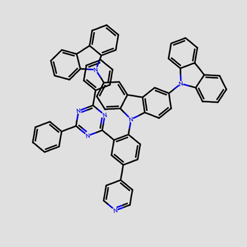 c1ccc(-c2nc(-c3ccccc3)nc(-c3cc(-c4ccncc4)ccc3-n3c4ccc(-n5c6ccccc6c6ccccc65)cc4c4cc(-n5c6ccccc6c6ccccc65)ccc43)n2)cc1